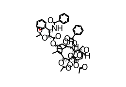 CC(=O)O[C@H]1C(=O)[C@]2(C)[C@@H](OC(C)=O)C[C@H]3OC[C@@]3(OC(C)=O)[C@H]2[C@H](OC(=O)c2ccccc2)[C@]2(O)C[C@H](OC(=O)[C@H](OC(C)=O)[C@@H](NC(=O)c3ccccc3)c3ccccc3)C(C)=C1C2(C)C